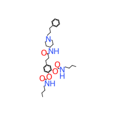 CCCCNC(=O)Oc1ccc(CCC(=O)NC2CCN(CCCc3ccccc3)CC2)cc1OC(=O)NCCCC